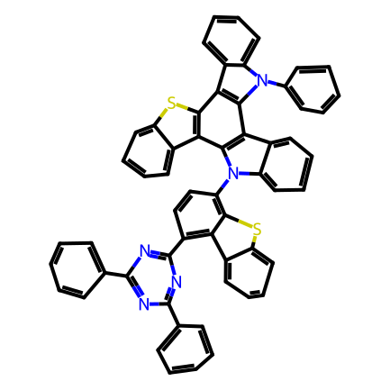 c1ccc(-c2nc(-c3ccccc3)nc(-c3ccc(-n4c5ccccc5c5c6c(c7ccccc7n6-c6ccccc6)c6sc7ccccc7c6c54)c4sc5ccccc5c34)n2)cc1